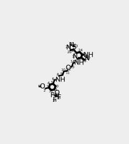 COCc1cc(CNCCCCOCCNc2nc(-c3cnns3)cc3[nH]ncc23)cc(OC(F)(F)F)c1